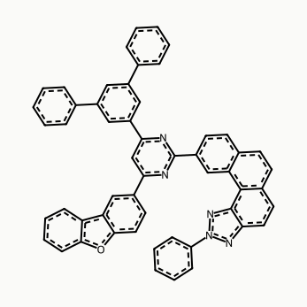 c1ccc(-c2cc(-c3ccccc3)cc(-c3cc(-c4ccc5oc6ccccc6c5c4)nc(-c4ccc5ccc6ccc7nn(-c8ccccc8)nc7c6c5c4)n3)c2)cc1